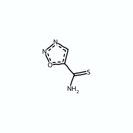 NC(=S)c1cnno1